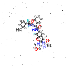 CCC(=O)N[C@@H](C(=O)N1CCOCC1)[C@@H](C)c1ccc(NC(=O)[C@@H](NC(=O)C(F)(F)c2cccc(C#N)c2)C2CCCCC2)c(F)c1